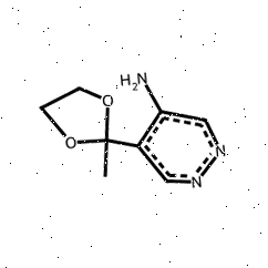 CC1(c2cnncc2N)OCCO1